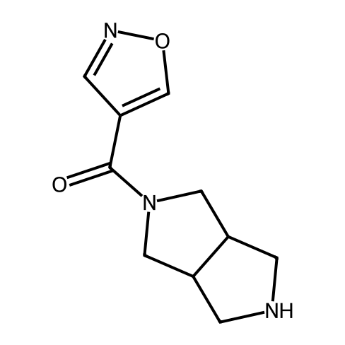 O=C(c1cnoc1)N1CC2CNCC2C1